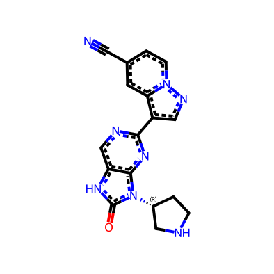 N#Cc1ccn2ncc(-c3ncc4[nH]c(=O)n([C@@H]5CCNC5)c4n3)c2c1